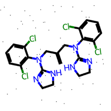 C=C(CN(C1=NCCN1)c1c(Cl)cccc1Cl)CN(C1=NCCN1)c1c(Cl)cccc1Cl